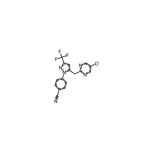 N#Cc1ccc(-n2nc(C(F)(F)F)cc2Cc2ncc(Cl)cn2)cc1